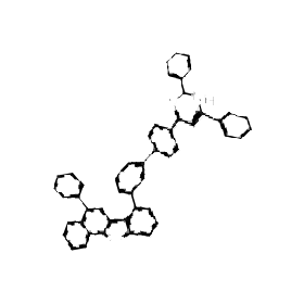 C1=CCCC(C2=CC(c3ccc(-c4cccc(-c5cccc6oc7c8ccccc8c(-c8ccccc8)cc7c56)c4)cc3)=NC(C3=CCCC=C3)N2)=C1